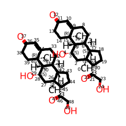 C[C@]12C[C@H](O)[C@H]3[C@@H](CCC4=CC(=O)CC[C@@]43C)[C@@H]1CC[C@@H]2C(=O)CO.C[C@]12C[C@H](O)[C@H]3[C@@H](CCC4=CC(=O)CC[C@@]43C)[C@@H]1CC[C@@H]2C(=O)CO